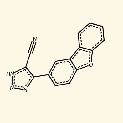 N#Cc1[nH]nnc1-c1ccc2oc3ccccc3c2c1